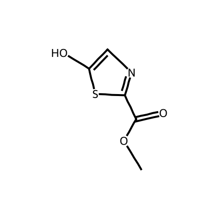 COC(=O)c1ncc(O)s1